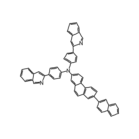 c1ccc2cc(-c3ccc4c(ccc5cc(N(c6ccc(-c7cc8ccccc8cn7)cc6)c6ccc(-c7cc8ccccc8cn7)cc6)ccc54)c3)ccc2c1